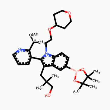 CO[C@@H](C)c1ncccc1-c1c(CC(C)(C)CO)c2cc(B3OC(C)(C)C(C)(C)O3)ccc2n1CCOC1CCOCC1